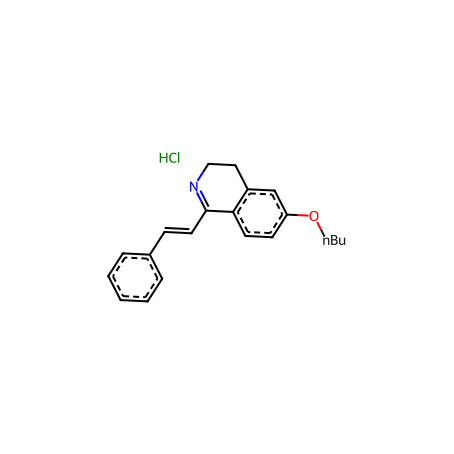 CCCCOc1ccc2c(c1)CCN=C2C=Cc1ccccc1.Cl